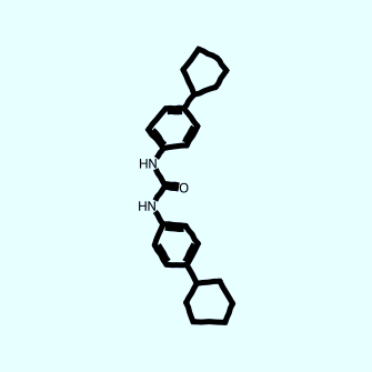 O=C(Nc1ccc(C2CCCCC2)cc1)Nc1ccc(C2CCCCC2)cc1